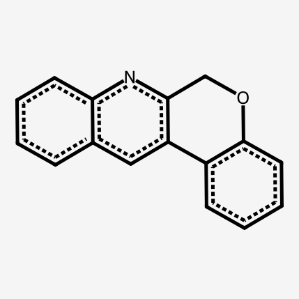 c1ccc2c(c1)OCc1nc3ccccc3cc1-2